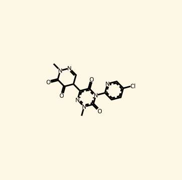 CN1N=CC(c2nn(C)c(=O)n(-c3ccc(Cl)cn3)c2=O)C(=O)C1=O